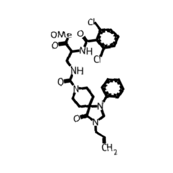 C=CCN1CN(c2ccccc2)C2(CCN(C(=O)NCC(NC(=O)c3c(Cl)cccc3Cl)C(=O)OC)CC2)C1=O